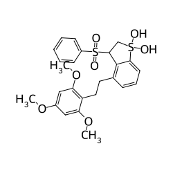 COc1cc(OC)c(CCc2cccc3c2C(S(=O)(=O)c2ccccc2)CS3(O)O)c(OC)c1